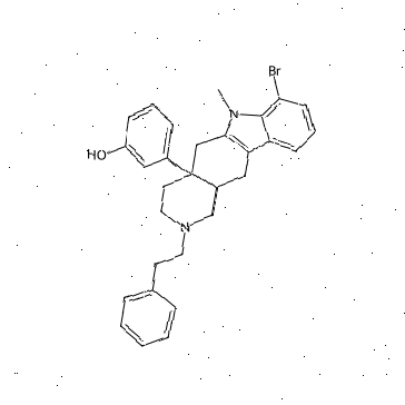 Cn1c2c(c3cccc(Br)c31)CC1CN(CCc3ccccc3)CCC1(c1cccc(O)c1)C2